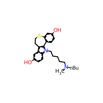 CCCCN(C)CCCCCn1c2c(c3cc(O)ccc31)CCSc1cc(O)ccc1-2